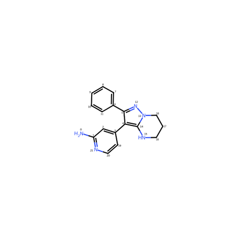 Nc1cc(-c2c(-c3ccccc3)nn3c2NCCC3)ccn1